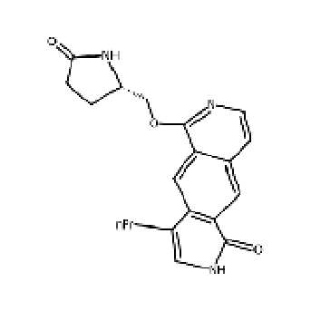 CCCc1c[nH]c(=O)c2cc3ccnc(OC[C@@H]4CCC(=O)N4)c3cc12